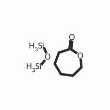 O=C1CCCCCO1.[SiH3]O[SiH3]